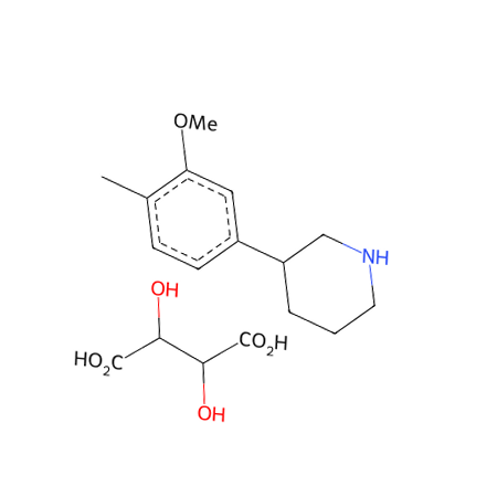 COc1cc(C2CCCNC2)ccc1C.O=C(O)C(O)C(O)C(=O)O